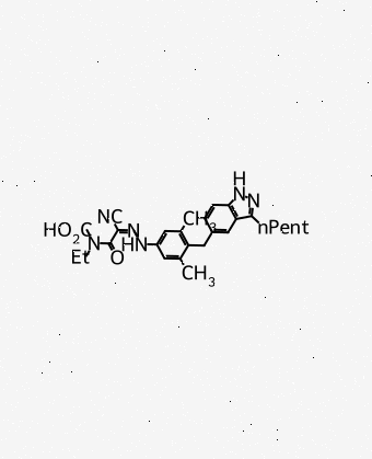 CCCCCc1n[nH]c2ccc(Cc3c(C)cc(NN=C(C#N)C(=O)N(CC)C(=O)O)cc3C)cc12